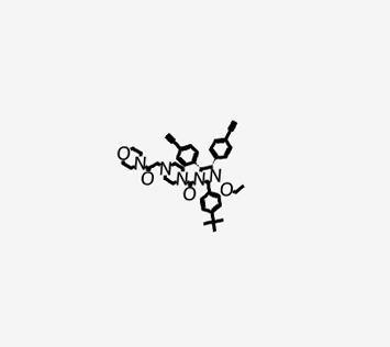 C#Cc1ccc([C@@H]2[C@H](c3ccc(C#C)cc3)N=C(c3ccc(C(C)(C)C)cc3OCC)N2C(=O)N2CCN(CC(=O)N3CCOCC3)CC2)cc1